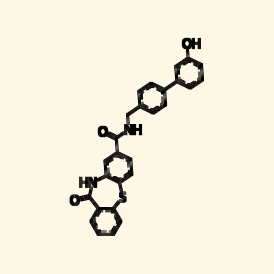 O=C(NCc1ccc(-c2cccc(O)c2)cc1)c1ccc2c(c1)NC(=O)c1ccccc1S2